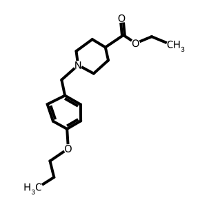 CCCOc1ccc(CN2CCC(C(=O)OCC)CC2)cc1